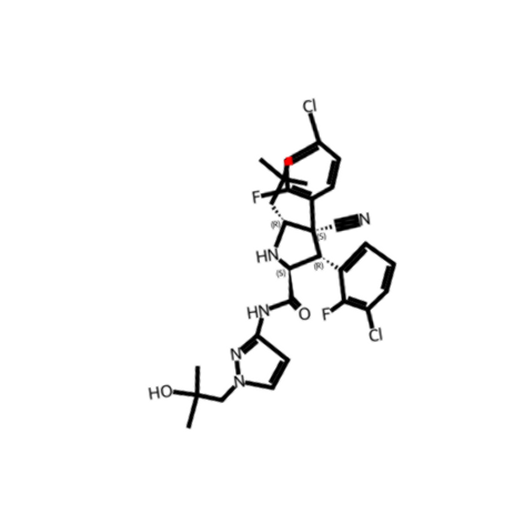 CC(C)(C)C[C@H]1N[C@H](C(=O)Nc2ccn(CC(C)(C)O)n2)[C@@H](c2cccc(Cl)c2F)[C@]1(C#N)c1ccc(Cl)cc1F